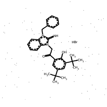 Br.CC(C)(C)c1cc(C(=O)Cn2c(=N)n(Cc3ccccc3)c3ccccc32)c(O)c(C(C)(C)C)c1